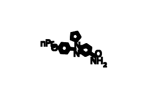 CCCOc1ccc(-c2nc3cc(C(N)=O)ccc3n2C2CCCC2)cc1